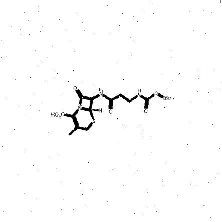 CC1=C(C(=O)O)N2C(=O)C(NC(=O)CCNC(=O)OC(C)(C)C)[C@@H]2SC1